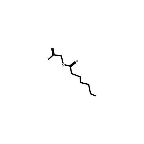 C=C(C)COC(=O)CCCCCC